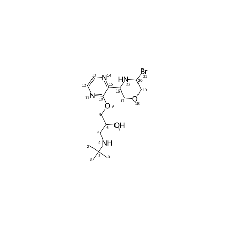 CC(C)(C)NCC(O)COc1nccnc1C1COCC(Br)N1